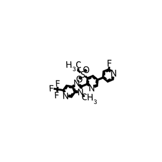 CCS(=O)(=O)c1cc(-c2ccnc(F)c2)cnc1-c1nc2cc(C(F)(F)F)ncc2n1C